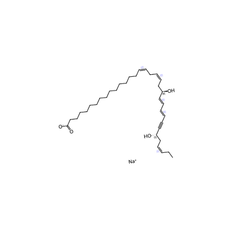 CC/C=C\C[C@H](O)C#C/C=C/C=C/[C@H](O)C/C=C\C/C=C\CCCCCCCCCCCCCCC(=O)[O-].[Na+]